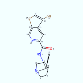 O=C(N[C@H]1CN2CCC1CC2)c1cc2c(S)csc2cn1